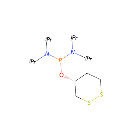 CC(C)N(C(C)C)P(O[C@@H]1CCSSC1)N(C(C)C)C(C)C